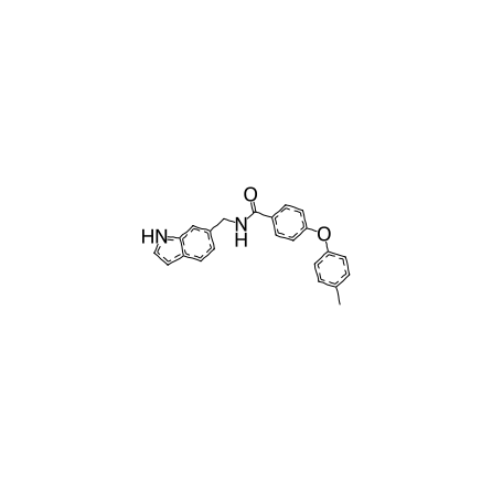 Cc1ccc(Oc2ccc(C(=O)NCc3ccc4cc[nH]c4c3)cc2)cc1